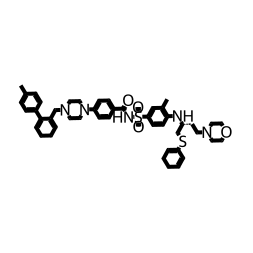 Cc1ccc(C2=CCCC=C2CN2CCN(c3ccc(C(=O)NS(=O)(=O)c4ccc(N[C@H](CCN5CCOCC5)CSC5=CCCC=C5)c(C)c4)cc3)CC2)cc1